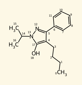 CCCCc1c(-c2ccccc2)nn(C(C)C)c1O